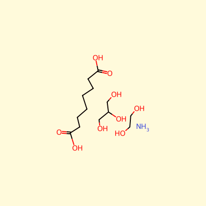 N.O=C(O)CCCCCCC(=O)O.OCC(O)CO.OCCO